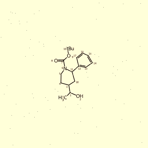 CC(O)C1CCN(C(=O)OC(C)(C)C)C(c2ccccc2)C1